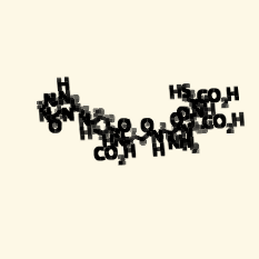 N[C@@H](CNC(=O)CC[C@@H](NC(=O)c1ccc(NCc2c[nH]c3ncnc(=O)c-3n2)cc1)C(=O)O)C(=O)N[C@@H](CC(=O)O)C(=O)N[C@@H](CS)C(=O)O